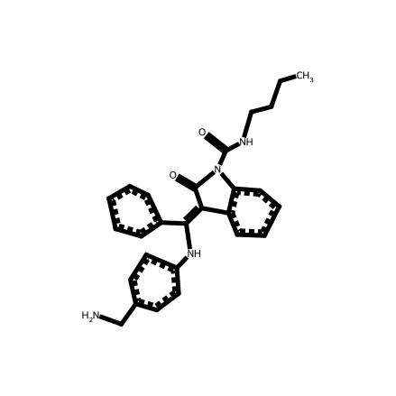 CCCCNC(=O)N1C(=O)C(=C(Nc2ccc(CN)cc2)c2ccccc2)c2ccccc21